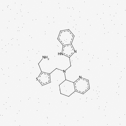 NCc1sccc1CN(Cc1nc2ccccc2[nH]1)C1CCCc2cccnc21